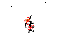 CCOP(=O)(CC(C)=CC(=O)OC(C)C)OCC